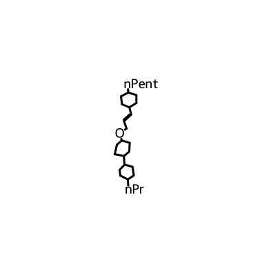 CCCCCC1CCC(C=CCOC2CCC(C3CCC(CCC)CC3)CC2)CC1